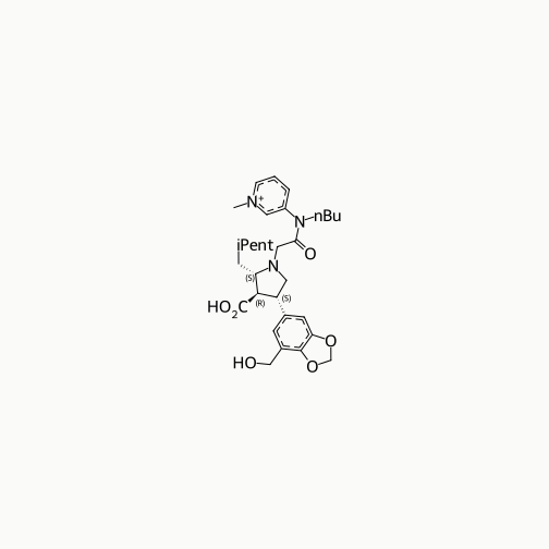 CCCCN(C(=O)CN1C[C@H](c2cc(CO)c3c(c2)OCO3)[C@@H](C(=O)O)[C@@H]1CC(C)CCC)c1ccc[n+](C)c1